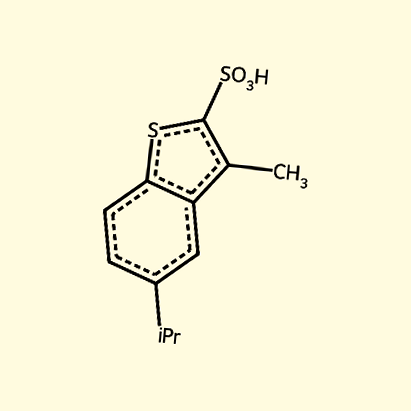 Cc1c(S(=O)(=O)O)sc2ccc(C(C)C)cc12